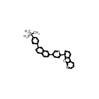 C[Si](C)(C)c1ccc(-c2ccc3ccc(-c4ccc(-c5cccc6c5oc5ncccc56)nc4)cc3c2)cc1